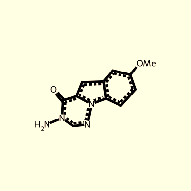 COc1ccc2c(c1)cc1c(=O)n(N)cnn12